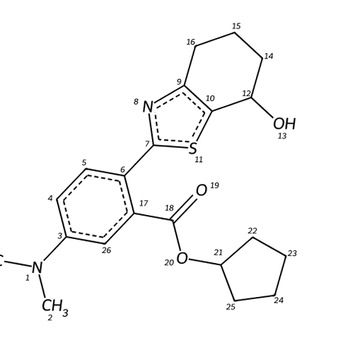 CN(C)c1ccc(-c2nc3c(s2)C(O)CCC3)c(C(=O)OC2CCCC2)c1